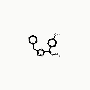 CC(=O)Oc1ccc(/C(=N\N)c2nnc(Cc3ccccc3)s2)cc1